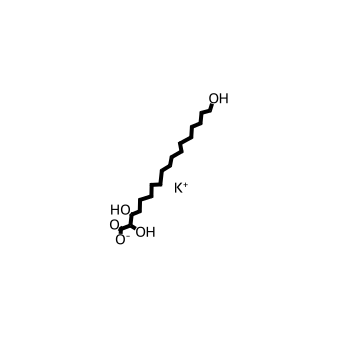 O=C([O-])C(O)C(O)CCCCCCCCCCCCCCCO.[K+]